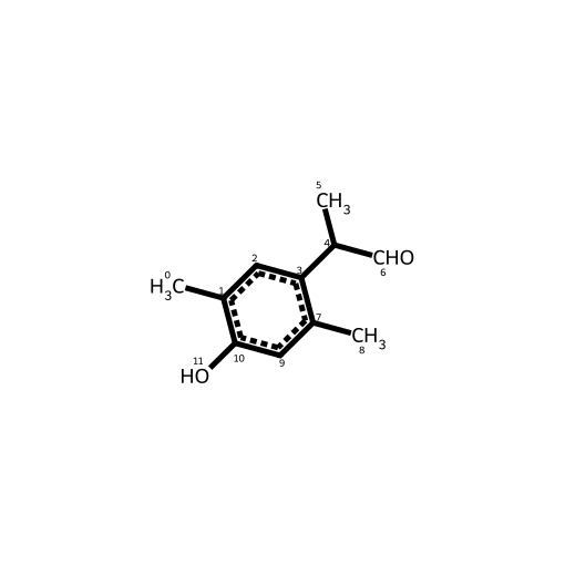 Cc1cc(C(C)C=O)c(C)cc1O